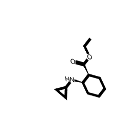 CCOC(=O)[C@H]1CCCC[C@H]1NC1CC1